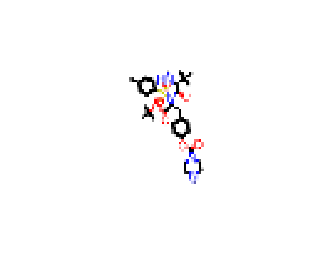 CNC(C(=O)N([C@@H](Cc1ccc(OC(=O)N2CCN(C)CC2)cc1)C(=O)OC(C)(C)C)S(=O)(=O)c1ccc(C)cc1)C(C)(C)C